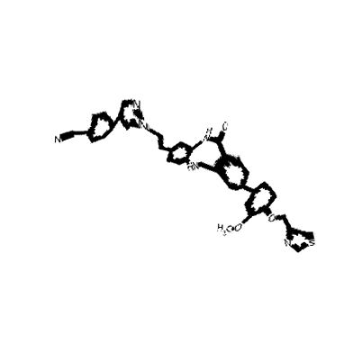 COc1cc(-c2ccc3c(c2)Nc2ccc(CCn4cc(-c5ccc(C#N)cc5)cn4)cc2NC3=O)ccc1OCc1cscn1